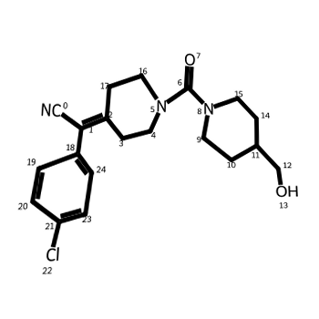 N#CC(=C1CCN(C(=O)N2CCC(CO)CC2)CC1)c1ccc(Cl)cc1